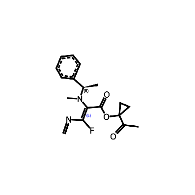 C=N/C(F)=C(/C(=O)OC1(C(C)=O)CC1)N(C)[C@H](C)c1ccccc1